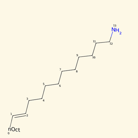 CCCCCCCCC=CCCCCCCCCCCN